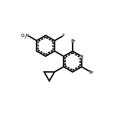 O=[N+]([O-])c1ccc(-c2c(C3CC3)cc(Br)nc2Br)c(F)c1